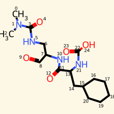 CN(C)C(=O)NCC(C=O)NC(=O)C(CC1CCCCC1)NC(=O)O